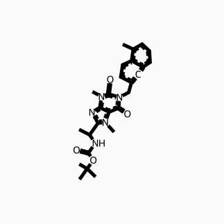 Cc1cccc2cc(Cn3c(=O)c4c(nc(C(C)NC(=O)OC(C)(C)C)n4C)n(C)c3=O)ccc12